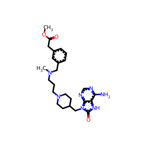 COC(=O)Cc1cccc(CN(C)CCCN2CCC(Cn3c(=O)[nH]c4c(N)ncnc43)CC2)c1